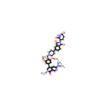 COc1cc(-c2cn(C)c(=O)c3cnc(N(C)C)cc23)cc(OC)c1CN1CCC(c2ccc3c(c2)C(=O)N(C2CCC(=O)NC2=O)C3=O)CC1